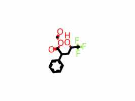 O=COC(=O)C(CC(O)C(F)(F)F)c1ccccc1